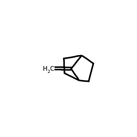 C=C1C2CCC1CC2